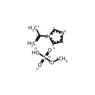 C=C(C)n1ccnc1.COS(=O)(=O)O